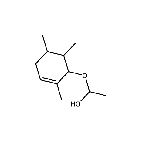 CC1=CCC(C)C(C)C1OC(C)O